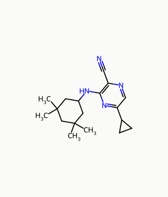 CC1(C)CC(Nc2nc(C3CC3)cnc2C#N)CC(C)(C)C1